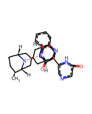 C[C@H]1CC[C@@H]2C[C@H](n3c(=O)c(-c4cncc(=O)[nH]4)nc4ccccc43)C[C@H]1N2[C@H]1C[C@@H]2CCC[C@@H](C2)C1